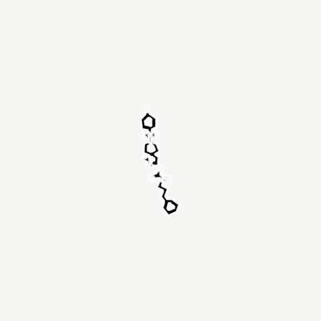 O=C(NCCCc1ccccc1)OC1=NOC2(CCN(S(=O)(=O)c3ccc(F)cc3)CC2)C1